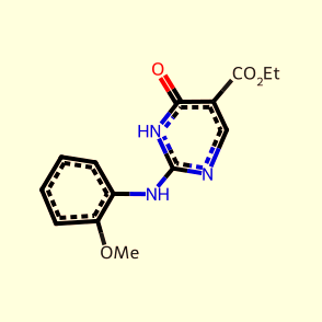 CCOC(=O)c1cnc(Nc2ccccc2OC)[nH]c1=O